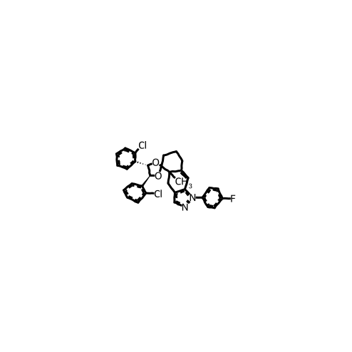 CC12Cc3cnn(-c4ccc(F)cc4)c3C=C1CCCC21O[C@@H](c2ccccc2Cl)[C@H](c2ccccc2Cl)O1